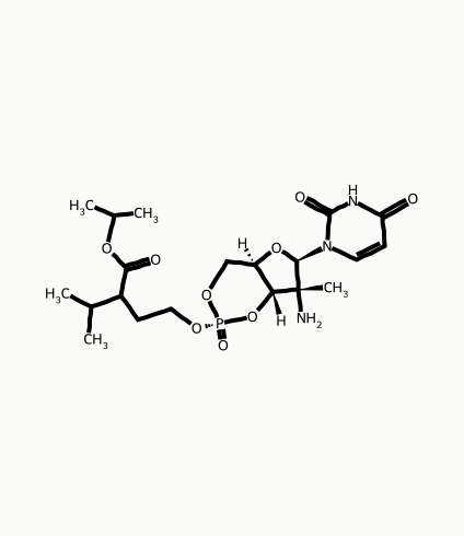 CC(C)OC(=O)C(CCO[P@]1(=O)OC[C@H]2O[C@@H](n3ccc(=O)[nH]c3=O)[C@](C)(N)[C@@H]2O1)C(C)C